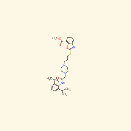 COC(=O)c1cccc2nc(SCCCN3CCN(CC(=O)Nc4c(C(C)C)cccc4C(C)C)CC3)oc12